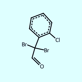 O=CC(Br)(Br)c1ccccc1Cl